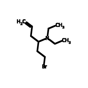 C=CCC(CCBr)N(CC)CC